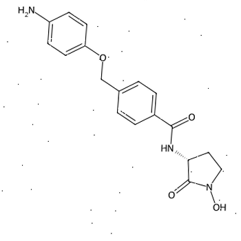 Nc1ccc(OCc2ccc(C(=O)N[C@@H]3CCN(O)C3=O)cc2)cc1